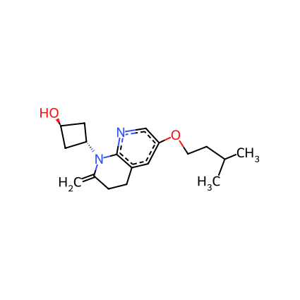 C=C1CCc2cc(OCCC(C)C)cnc2N1[C@H]1C[C@H](O)C1